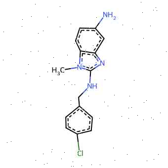 Cn1c(NCc2ccc(Cl)cc2)nc2cc(N)ccc21